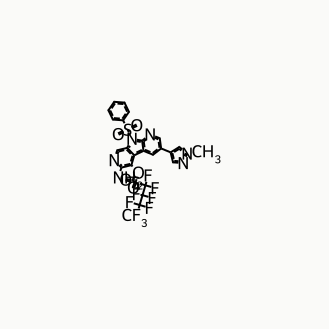 Cn1cc(-c2cnc3c(c2)c2c(OS(=O)(=O)C(F)(F)C(F)(F)C(F)(F)C(F)(F)F)c(N)ncc2n3S(=O)(=O)c2ccccc2)cn1